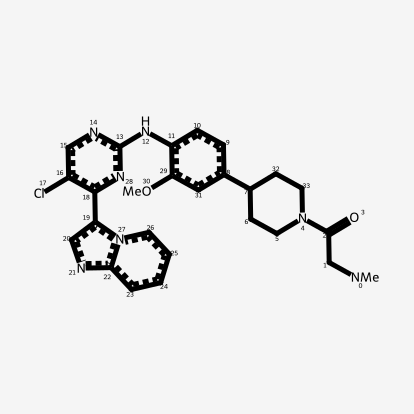 CNCC(=O)N1CCC(c2ccc(Nc3ncc(Cl)c(-c4cnc5ccccn45)n3)c(OC)c2)CC1